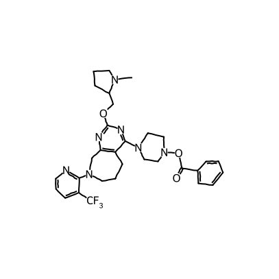 CN1CCCC1COc1nc2c(c(N3CCN(OC(=O)c4ccccc4)CC3)n1)CCCN(c1ncccc1C(F)(F)F)C2